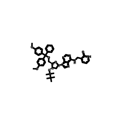 COc1ccc(C(OC[C@H]2O[C@@H](n3cnc4c(NCc5ccc[nH]c5=O)ncnc43)C[C@@H]2O[Si](C)(C)C(C)(C)C)(c2ccccc2)c2ccc(OC)cc2)cc1